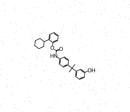 CC(C)(c1ccc(NC(=O)Oc2ccccc2C2CCCCC2)cc1)c1cccc(O)c1